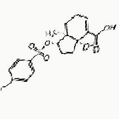 Cc1ccc(S(=O)(=O)O[C@H]2CC[C@]3(O)C(C(=O)O)=CCC[C@]23C)cc1